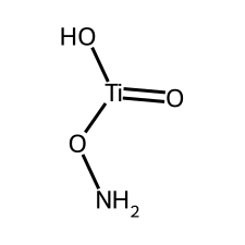 N[O][Ti](=[O])[OH]